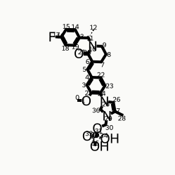 COc1cc(C=C2CCCN([C@@H](C)c3ccc(F)cc3)C2=O)ccc1N1C=C(C)N(COP(=O)(O)O)C1